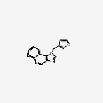 c1ccc2c(c1)ncc1ncn(Cc3ccon3)c12